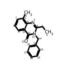 CCc1nc2c(C)cccc2c(=O)n1Cc1ccccc1